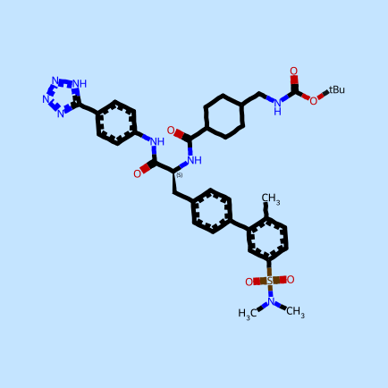 Cc1ccc(S(=O)(=O)N(C)C)cc1-c1ccc(C[C@H](NC(=O)C2CCC(CNC(=O)OC(C)(C)C)CC2)C(=O)Nc2ccc(-c3nnn[nH]3)cc2)cc1